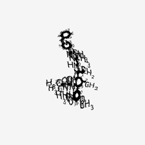 C=C/C(=N\C1CC(C=C)C=C(c2cc(OC)cc(OC)c2)C(NC(=O)NC(C)(C)C)=N1)NCC(C)/N=N\N(C)C1CCN(CC2CCCCC2)CC1